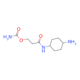 NC(=O)OCCC(=O)NC1CCC(N)CC1